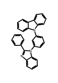 c1ccc(-c2nc3ccccc3n2-c2cccc(-n3c4ccccc4c4ccccc43)c2)cc1